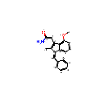 COc1cccc2c1C(CC(N)=O)=C(C)/C2=C/c1ccccc1